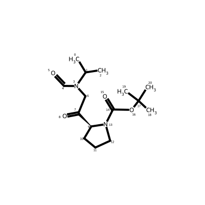 CC(C)N([C]=O)CC(=O)[C@@H]1CCCN1C(=O)OC(C)(C)C